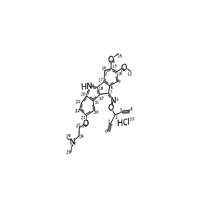 C#CC(C#C)ON=C1c2cc(OC)c(OC)cc2-c2[nH]c3ccc(OCCN(C)C)cc3c21.Cl